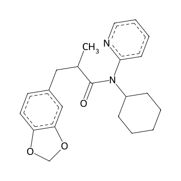 CC(Cc1ccc2c(c1)OCO2)C(=O)N(c1ccccn1)C1CCCCC1